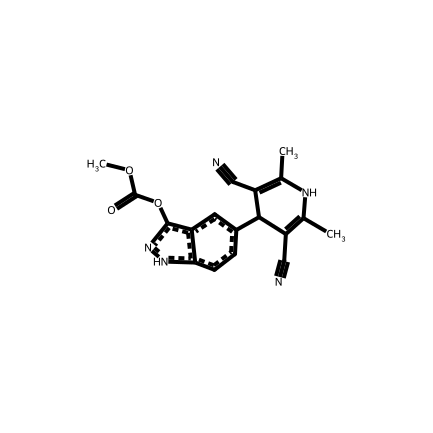 COC(=O)Oc1n[nH]c2ccc(C3C(C#N)=C(C)NC(C)=C3C#N)cc12